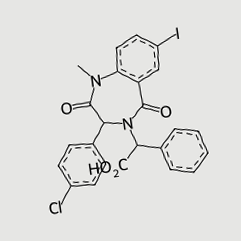 CN1C(=O)C(c2ccc(Cl)cc2)N(C(C(=O)O)c2ccccc2)C(=O)c2cc(I)ccc21